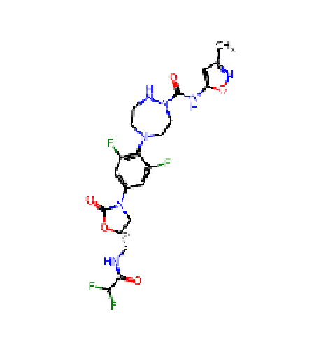 Cc1cc(NC(=O)N2CCN(c3c(F)cc(N4C[C@H](CNC(=O)C(F)F)OC4=O)cc3F)CCN2)on1